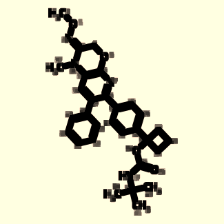 CON=C1COc2nc(-c3ccc(C4(OC(=O)NC(C)(C)C)CCC4)cc3)c(-c3ccccc3)cc2N1C